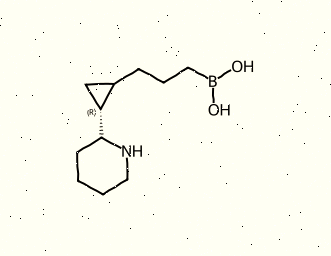 OB(O)CCCC1C[C@H]1C1CCCCN1